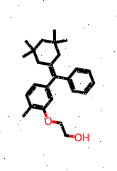 Cc1ccc(C(=C2CC(C)(C)CC(C)(C)C2)c2ccccc2)cc1OCCO